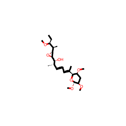 CC[C@H](OC)[C@@H](C)[C@H]1O[C@@H]1[C@H](O)[C@@H](C)/C=C/C=C(\C)[C@@H]1O[C@@H](OC)[C@H](OC)C[C@H]1OC